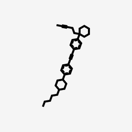 CC#CCCC1(c2ccc(C#Cc3ccc(C4CCC(CCCCC)CC4)cc3)cc2)CCCCC1